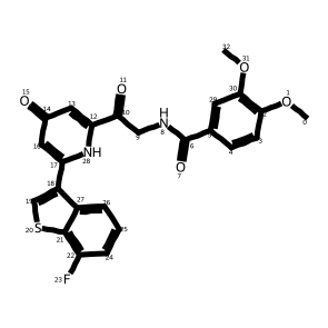 COc1ccc(C(=O)NCC(=O)c2cc(=O)cc(-c3csc4c(F)cccc34)[nH]2)cc1OC